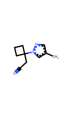 Cc1cnn(C2(CC#N)CCC2)c1